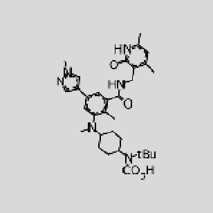 Cc1cc(C)c(CNC(=O)c2cc(-c3cnn(C)c3)cc(N(C)C3CCC(N(C(=O)O)C(C)(C)C)CC3)c2C)c(=O)[nH]1